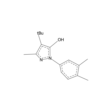 Cc1ccc(-n2nc(C)c(C(C)(C)C)c2O)cc1C